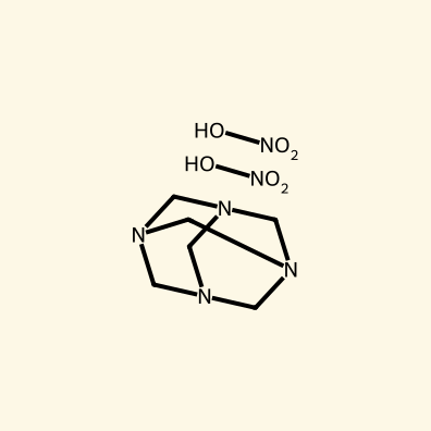 C1N2CN3CN1CN(C2)C3.O=[N+]([O-])O.O=[N+]([O-])O